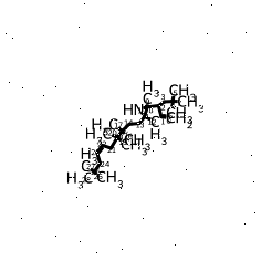 C=CC(CC(C)(C)C)C1(C)NC1(C)CCC(C)(C)C(C)(C)C/C=C\CC(C)(C)C